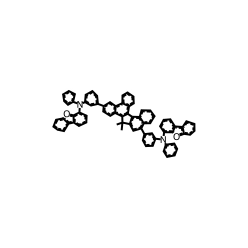 CC1(C)c2cc(-c3cccc(N(c4ccccc4)c4cccc5c4oc4ccccc45)c3)c3ccccc3c2-c2c1c1ccc(-c3cccc(N(c4ccccc4)c4cccc5c4oc4ccccc45)c3)cc1c1ccccc21